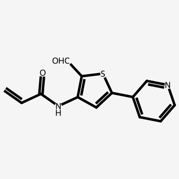 C=CC(=O)Nc1cc(-c2cccnc2)sc1C=O